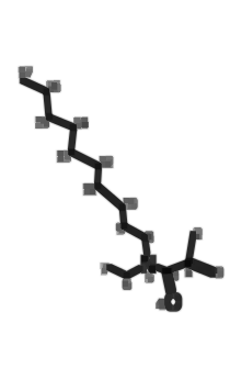 C=C(C)C(=O)N(CC)CCCCCCCCCC